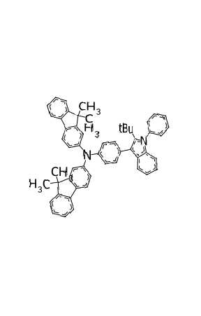 CC(C)(C)c1c(-c2ccc(N(c3ccc4c(c3)C(C)(C)c3ccccc3-4)c3ccc4c(c3)C(C)(C)c3ccccc3-4)cc2)c2ccccc2n1-c1ccccc1